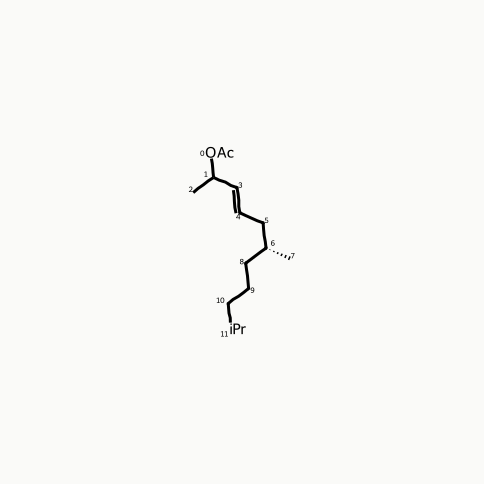 CC(=O)OC(C)/C=C/C[C@H](C)CCCC(C)C